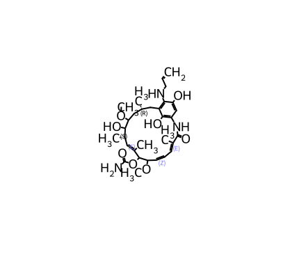 C=CCNc1c(O)cc2c(O)c1C[C@@H](C)CC(OC)C(O)[C@@H](C)/C=C(\C)C(OC(N)=O)C(OC)/C=C\C=C(/C)C(=O)N2